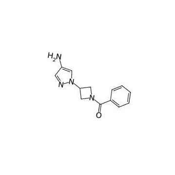 Nc1cnn(C2CN(C(=O)c3ccccc3)C2)c1